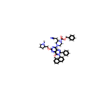 Cc1cccc2cccc(-n3c(-c4ccccc4)nc4c(N5CCN(C(=O)OCc6ccccc6)C(CC#N)C5)nc(OCC5CCCN5C)nc4c3=O)c12